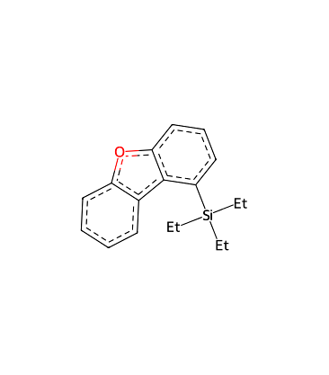 CC[Si](CC)(CC)c1cccc2oc3ccccc3c12